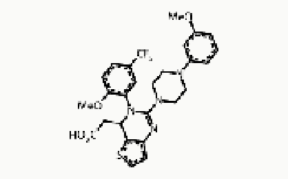 COc1cccc(N2CCN(C3=Nc4ccsc4[C@@H](CC(=O)O)N3c3cc(C(F)(F)F)ccc3OC)CC2)c1